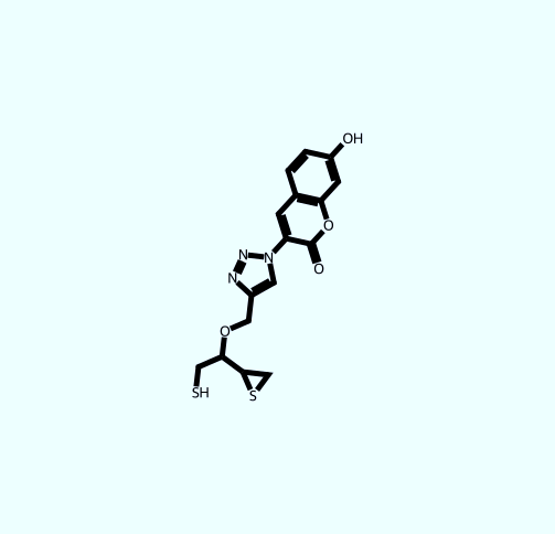 O=c1oc2cc(O)ccc2cc1-n1cc(COC(CS)C2CS2)nn1